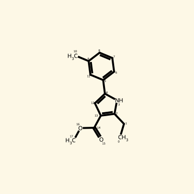 CCc1[nH]c(-c2cccc(C)c2)cc1C(=O)OC